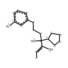 CC=C(O)C(O)(CCCc1cccc(C(C)=O)c1)C1CCCC1